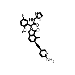 COc1ccc(F)cc1C(C(=O)Nc1nccs1)N1Cc2ccc(C#Cc3ccc(N)nc3)c(C)c2C1=O